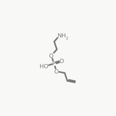 C=CCOP(=O)(O)OCCN